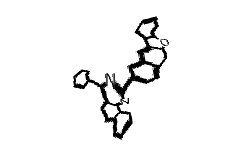 c1ccc(-c2nc(-c3ccc4cc5oc6ccccc6c5cc4c3)nc3c2ccc2ccccc23)cc1